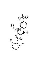 CS(=O)(=O)c1ccc(Nc2oc(-c3c(F)cccc3F)nc2NC=O)cc1